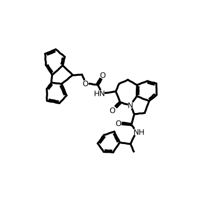 CC(NC(=O)C1Cc2cccc3c2N1C(=O)C(NC(=O)OCC1c2ccccc2-c2ccccc21)CC3)c1ccccc1